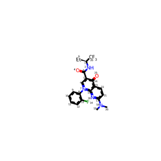 CC[C@H](NC(=O)c1cn(-c2ccccc2F)c2nc(N(C)C)ccc2c1=O)C(F)(F)F